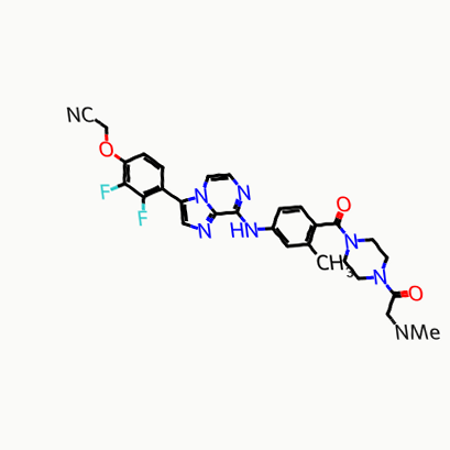 CNCC(=O)N1CCN(C(=O)c2ccc(Nc3nccn4c(-c5ccc(OCC#N)c(F)c5F)cnc34)cc2C)CC1